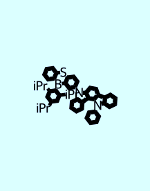 CC(C)c1cc(C(C)C)c(B2c3ccccc3Sc3ccc(-n4c5ccccc5c5c4ccc4c6ccccc6n(-c6ccccc6)c45)cc32)c(C(C)C)c1